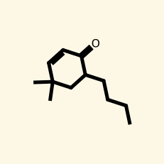 CCCCC1CC(C)(C)C=CC1=O